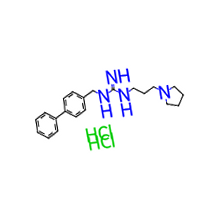 Cl.Cl.N=C(NCCCN1CCCC1)NCc1ccc(-c2ccccc2)cc1